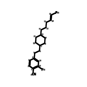 N#Cc1ccc(CCC2CCC(CCC/C=C/F)CC2)cc1F